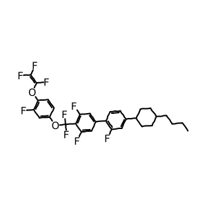 CCCCC1CCC(c2ccc(-c3cc(F)c(C(F)(F)Oc4ccc(OC(F)=C(F)F)c(F)c4)c(F)c3)c(F)c2)CC1